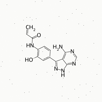 C=CC(=O)Nc1ccc(-c2n[nH]c3ncnc(N)c23)cc1O